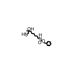 CNCC(C)(O)CCCCCCNC(=O)OCc1ccccc1